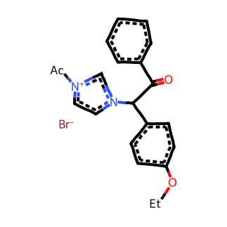 CCOc1ccc(C(C(=O)c2ccccc2)n2cc[n+](C(C)=O)c2)cc1.[Br-]